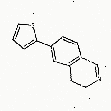 C1=NCCc2cc(-c3cccs3)ccc21